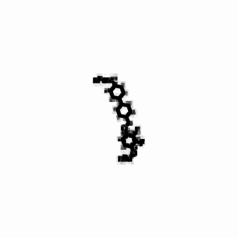 CCCCCC1CCC(C2CCC(COc3ccc(OCCCC)c(F)c3F)CC2)CC1